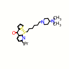 CC(C)c1ccc(C(=O)c2cccs2)c(SCCCCCCN2CCC(N(C)C)CC2)n1